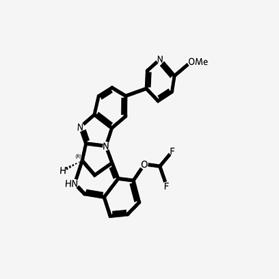 COc1ccc(-c2ccc3nc4n(c3c2)C2=c3c(OC(F)F)cccc3=CN[C@@H]4C2)cn1